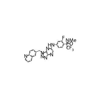 CNP(=O)(c1ccc(Nc2cnc3nnn(Cc4ccc5ncccc5c4)c3n2)cc1F)C(F)(F)F